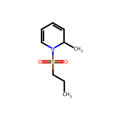 CCCS(=O)(=O)N1C=[C]C=CC1C